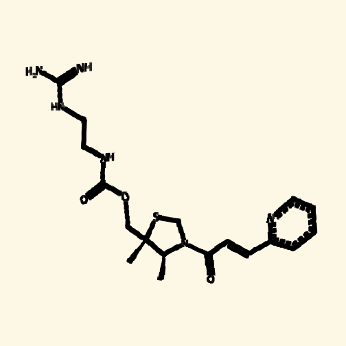 C[C@@H]1N(C(=O)/C=C/c2ccccn2)CS[C@@]1(C)COC(=O)NCCNC(=N)N